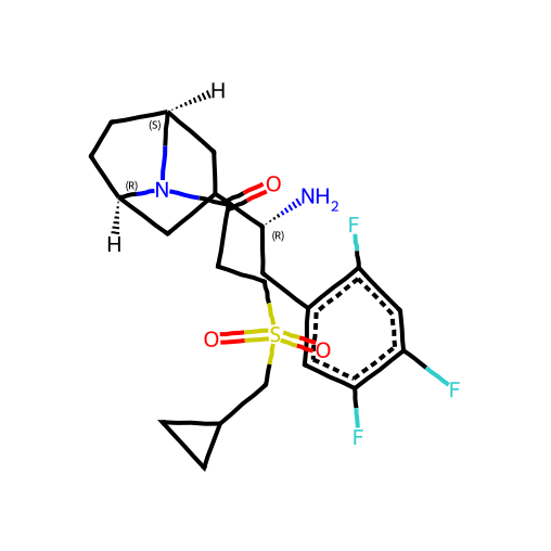 N[C@H](Cc1cc(F)c(F)cc1F)C1C[C@H]2CC[C@@H](C1)N2C(=O)CCS(=O)(=O)CC1CC1